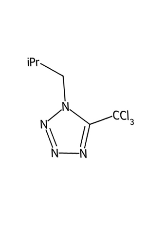 CC(C)Cn1nnnc1C(Cl)(Cl)Cl